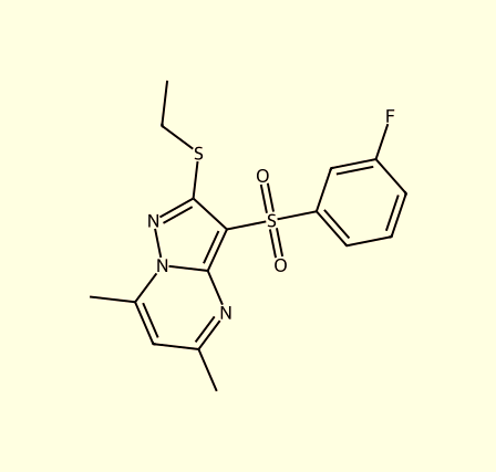 CCSc1nn2c(C)cc(C)nc2c1S(=O)(=O)c1cccc(F)c1